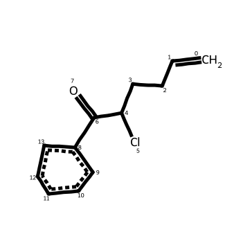 C=CCCC(Cl)C(=O)c1ccccc1